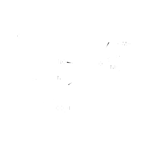 COC[C@H](C/C=C/[C@H](O)[C@@H]1CC[C@H]1CN1CCCCc2cc(Cl)ccc2COc2ccc(C(=O)O)cc21)S(N)(=O)=O